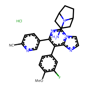 COc1ccc(-c2c(-c3ccc(C#N)nc3)nc(N3C4CCC3CC(N)C4)n3ccnc23)cc1F.Cl